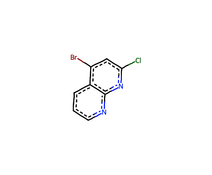 Clc1cc(Br)c2cccnc2n1